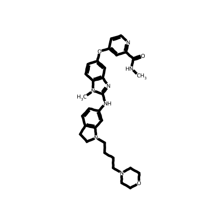 CNC(=O)c1cc(Oc2ccc3c(c2)nc(Nc2ccc4c(c2)N(CCCCN2CCOCC2)CC4)n3C)ccn1